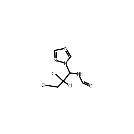 O=CNC(n1cncn1)C(Cl)(Cl)CCl